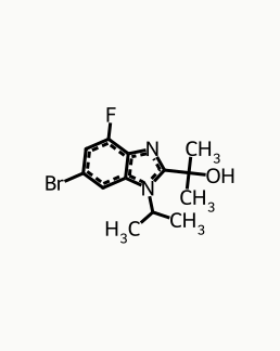 CC(C)n1c(C(C)(C)O)nc2c(F)cc(Br)cc21